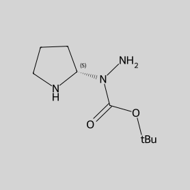 CC(C)(C)OC(=O)N(N)[C@H]1CCCN1